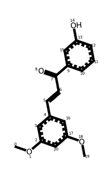 COc1cc(C=CC(=O)c2cccc(O)c2)cc(OC)c1